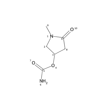 CN1CC(OC(N)=O)CC1=O